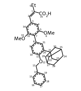 CCC(=Cc1cc(OC)c(-c2ccc(OCc3ccccc3)c(C34CC5CC(CC(C5)C3)C4)c2)c(OC)c1)C(=O)O